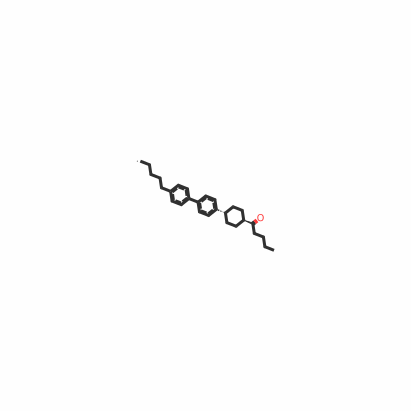 [CH2]CCCCc1ccc(-c2ccc([C@H]3CC[C@H](C(=O)CCCC)CC3)cc2)cc1